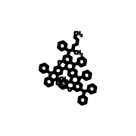 C=C/C=C\C=C(/C)N(c1ccccc1)c1cc2c3c(c1)N(c1ccccc1)c1cc4c(cc1B3c1cc3c(cc1O2)N(c1ccccc1)c1ccccc1C3(C)C)B1c2ccccc2Oc2cc(N(c3ccccc3)c3ccccc3)cc(c21)N4c1ccccc1